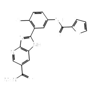 CNC(=O)c1cnc2nc(-c3cc(NC(=O)c4ccco4)ccc3Cl)[nH]c2c1